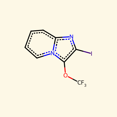 FC(F)(F)Oc1c(I)nc2ccccn12